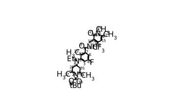 CCN(c1cc(F)cc(C(=O)NCc2c(C(F)(F)F)cc(C)n(C)c2=O)c1C)C1CC(C)N(C(=O)OC(C)(C)C)C(C)C1